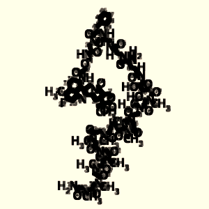 CC[C@@]1(O)C(=O)OCc2c1cc1n(c2=O)Cc2c-1nc1cc(F)c(C)c3c1c2[C@@H](NC(=O)COCNC(=O)CNC(=O)[C@H](Cc1ccccc1)NC(=O)CNC(=O)CNC(=O)[C@@H](N)CCC(=O)NC1O[C@H](C(=O)N(C)CC(=O)N(C)CC(=O)N(C)CC(=O)N(C)CC(=O)N(C)CC(=O)N(C)CC(=O)N(C)CC(=O)N(C)CC(=O)N(C)CC(=O)N(C)CC(=O)N(C)CC(=O)N(C)CC(N)=O)[C@@H](O)[C@H]1O)CC3